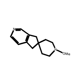 CON1CCC2(CC1)Cc1ccncc1C2